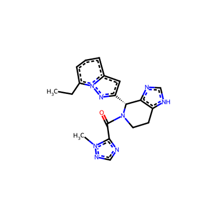 CCc1cccc2cc([C@@H]3c4nc[nH]c4CCN3C(=O)c3ncnn3C)nn12